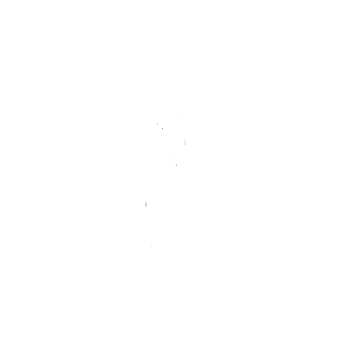 CC1=CC(C(=O)N[C@H](C(=O)N2CCC[C@H]2C=O)C(C)C)C=CCC1OC(F)(F)F